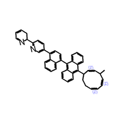 CC1/C=C\C=C/CCC(c2c3ccccc3c(-c3ccc(-c4ccc(C5CC=CC=N5)nc4)c4ccccc34)c3ccccc23)/C=C\1